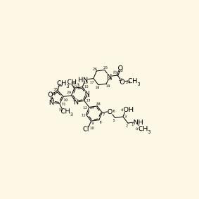 CNCC(O)COc1cc(Cl)cc(-c2nc(NC3CCN(C(=O)OC)CC3)c(C)c(-c3c(C)noc3C)n2)c1